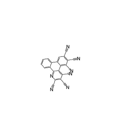 N#Cc1cc2c3ccccc3c3nc(C#N)c(C#N)c(C#N)c3c2c(C#N)c1C#N